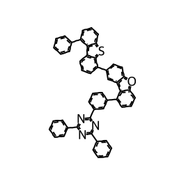 c1ccc(-c2nc(-c3ccccc3)nc(-c3cccc(-c4cccc5oc6ccc(-c7cccc8c7sc7cccc(-c9ccccc9)c78)cc6c45)c3)n2)cc1